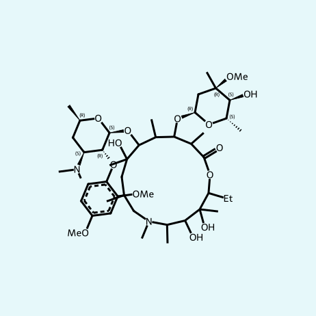 CCC1OC(=O)C(C)C(O[C@H]2C[C@@](C)(OC)[C@@H](O)[C@H](C)O2)C(C)C(O[C@@H]2O[C@H](C)C[C@H](N(C)C)[C@H]2Oc2ccc(OC)cc2OC)C(C)(O)CC(C)CN(C)C(C)C(O)C1(C)O